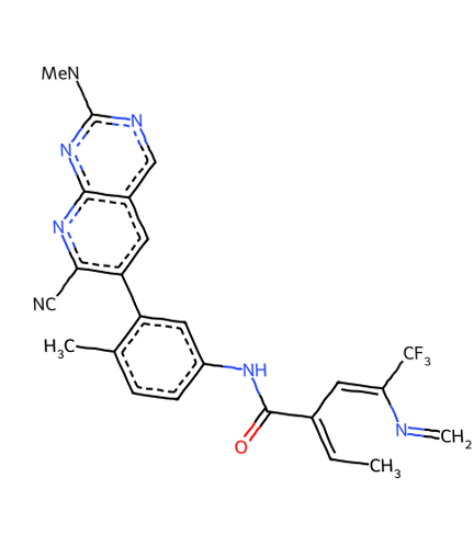 C=N/C(=C\C(=C/C)C(=O)Nc1ccc(C)c(-c2cc3cnc(NC)nc3nc2C#N)c1)C(F)(F)F